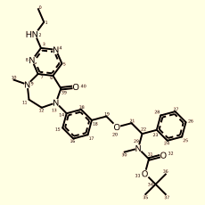 CCNc1ncc2c(n1)N(C)CCN(c1cccc(COCC(c3ccccc3)N(C)C(=O)OC(C)(C)C)c1)C2=O